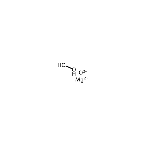 OO.[Mg+2].[O-2]